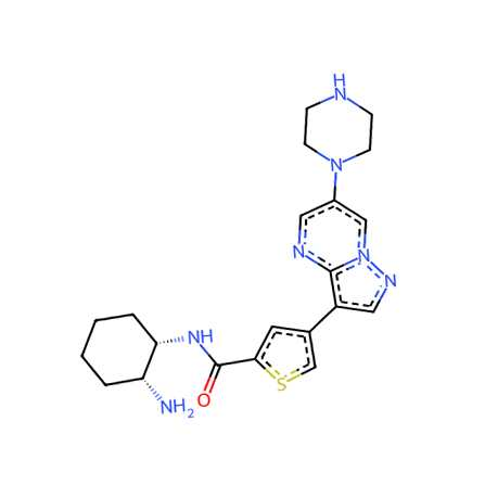 N[C@@H]1CCCC[C@@H]1NC(=O)c1cc(-c2cnn3cc(N4CCNCC4)cnc23)cs1